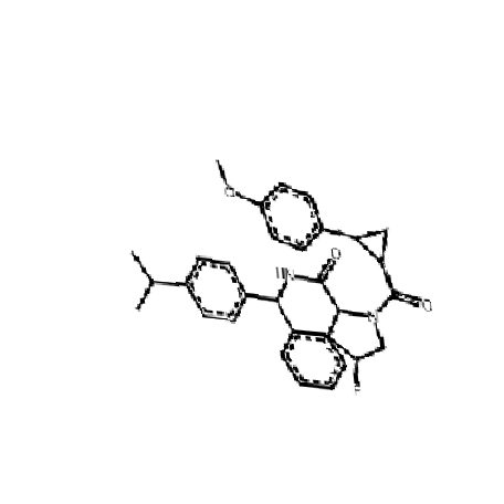 COc1ccc(C2CC2C(=O)N2CC(F)CC2C(=O)NC(c2ccccc2)c2ccc(C(C)C)cc2)cc1